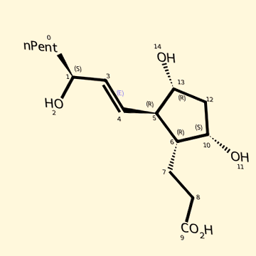 CCCCC[C@H](O)/C=C/[C@@H]1[C@@H](CCC(=O)O)[C@@H](O)C[C@H]1O